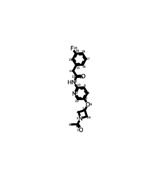 CC(=O)N1CC(Oc2ccc(NC(=O)Cc3cccc(F)c3)nc2)C1